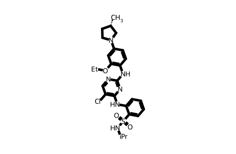 CCOc1cc(N2CC[C@H](C)C2)ccc1Nc1ncc(Cl)c(Nc2ccccc2S(=O)(=O)NC(C)C)n1